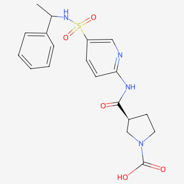 CC(NS(=O)(=O)c1ccc(NC(=O)[C@H]2CCN(C(=O)O)C2)nc1)c1ccccc1